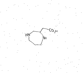 O=C(O)CC1CNCCCN1